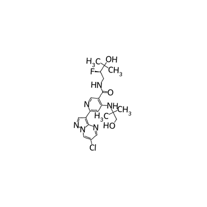 CC(C)(CO)Nc1cc(-c2cnn3cc(Cl)cnc23)ncc1C(=O)NC[C@@H](F)C(C)(C)O